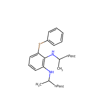 CCCCCC(C)Nc1cccc(Sc2ccccc2)c1NC(C)CCCCC